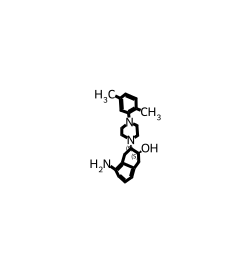 Cc1ccc(C)c(N2CCN([C@H]3Cc4c(N)cccc4C[C@@H]3O)CC2)c1